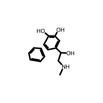 CNCC(O)c1ccc(O)c(O)c1.c1ccccc1